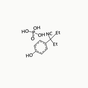 CCC(C#N)(CC)c1ccc(O)cc1.O=P(O)(O)O